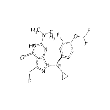 CN(C)c1nc2c(c(CF)nn2[C@@H](c2ccc(OC(F)F)c(F)c2)C2CC2)c(=O)[nH]1